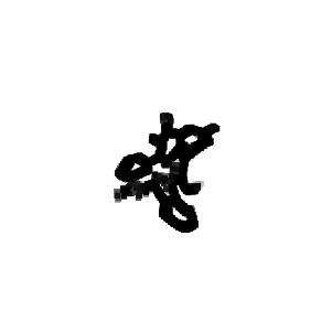 Cc1cc(C(C)Nc2ccccc2C(N)=NO)c2oc(-c3ccccc3)c(C)c(=O)c2c1